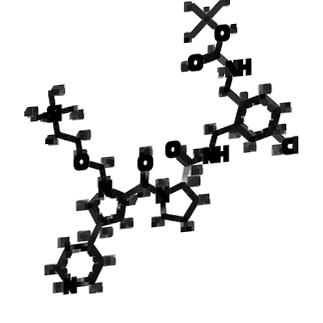 CC(C)(C)OC(=O)NCc1ccc(Cl)cc1CNC(=O)[C@@H]1CCCN1C(=O)c1cc(-c2ccncc2)cn1COCC[Si](C)(C)C